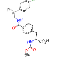 CC(C)[C@@H](CNC(=O)c1ccc(CC(NC(=O)OC(C)(C)C)C(=O)O)cc1)c1ccc(Br)cc1